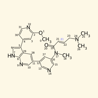 COc1cc(-c2c[nH]c3ncc(-c4cncc(N(C)C(=O)/C=C/CN(C)C)c4)cc23)ccn1